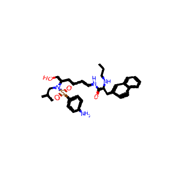 CCCNC(Cc1ccc2ccccc2c1)C(=O)NCCCCC(CO)N(CC(C)C)S(=O)(=O)c1ccc(N)cc1